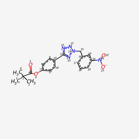 CC(C)(C)C(=O)Oc1ccc(-c2nnn(Cc3cccc([N+](=O)[O-])c3)n2)cc1